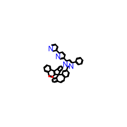 C1=Cc2ccc(-c3nc(-c4ccccc4)cc(-c4ccc(-c5cccnc5)nc4)n3)cc2C2(c3ccccc31)c1ccccc1-c1c2c2ccccc2c2ccccc12